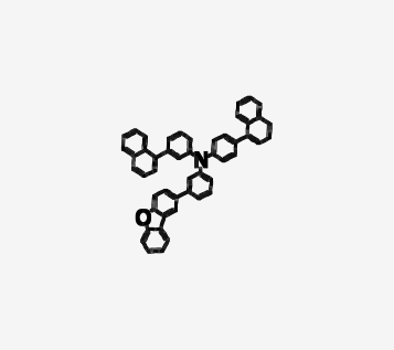 c1cc(-c2ccc3oc4ccccc4c3c2)cc(N(c2ccc(-c3cccc4ccccc34)cc2)c2cccc(-c3cccc4ccccc34)c2)c1